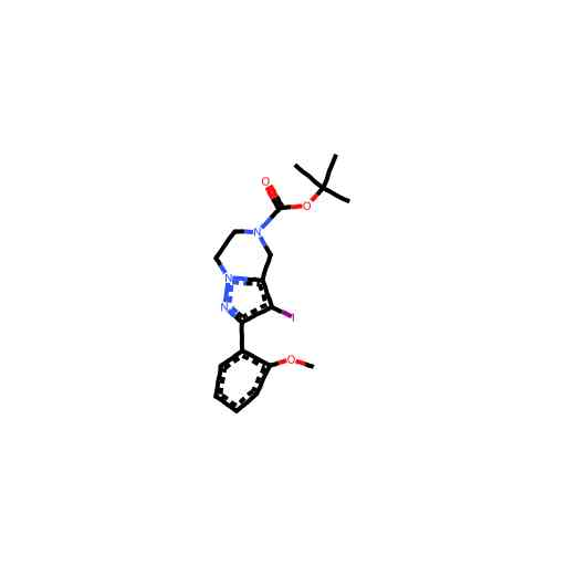 COc1ccccc1-c1nn2c(c1I)CN(C(=O)OC(C)(C)C)CC2